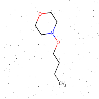 CCCCON1CCOCC1